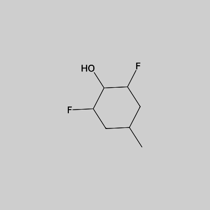 CC1CC(F)C(O)C(F)C1